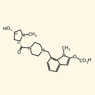 CN1C[C@@H](O)C[C@H]1C(=O)N1CCN(Cc2cccc3cc(OC(=O)O)n(C)c23)CC1